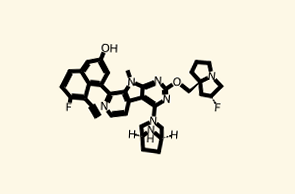 C#Cc1c(F)ccc2cc(O)cc(-c3nccc4c5c(N6C[C@H]7CC[C@@H](C6)N7)nc(OC[C@@]67CCCN6C[C@H](F)C7)nc5n(C)c34)c12